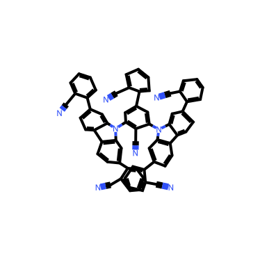 N#Cc1ccccc1-c1cc(-n2c3cc(-c4ccccc4C#N)ccc3c3ccc(-c4ccccc4C#N)cc32)c(C#N)c(-n2c3cc(-c4ccccc4C#N)ccc3c3ccc(-c4ccccc4C#N)cc32)c1